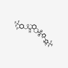 Cc1ccc2c(c1NC(=O)Cc1ccc(C(F)(F)F)c(F)c1)CCN(S(=O)(=O)c1ccc(-c3cc(C(F)(F)F)n(C)n3)s1)C2